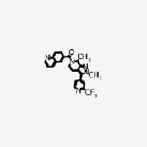 C[C@H]1c2nn(C)c(-c3ccnc(C(F)(F)F)c3)c2CCN1C(=O)c1ccc2ncccc2c1